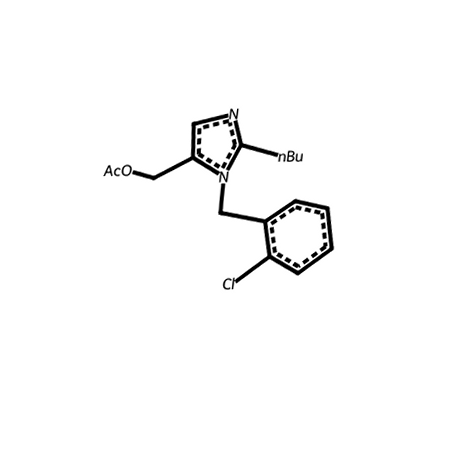 CCCCc1ncc(COC(C)=O)n1Cc1ccccc1Cl